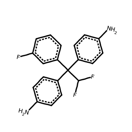 Nc1ccc(C(c2ccc(N)cc2)(c2cccc(F)c2)C(F)F)cc1